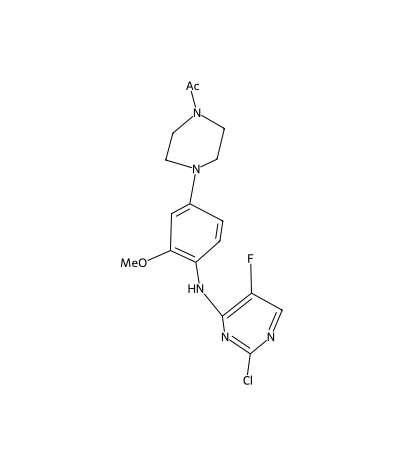 COc1cc(N2CCN(C(C)=O)CC2)ccc1Nc1nc(Cl)ncc1F